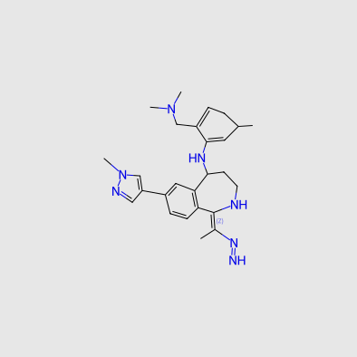 C/C(N=N)=C1/NCCC(NC2=CC(C)CC=C2CN(C)C)c2cc(-c3cnn(C)c3)ccc21